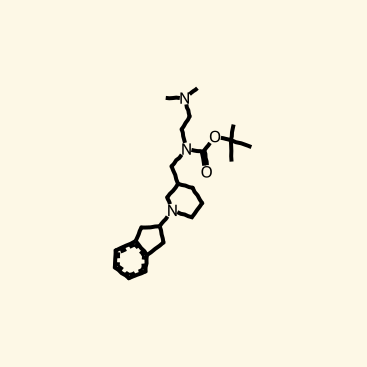 CN(C)CCN(CC1CCCN(C2Cc3ccccc3C2)C1)C(=O)OC(C)(C)C